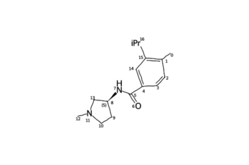 Cc1ccc(C(=O)N[C@H]2CCN(C)C2)cc1C(C)C